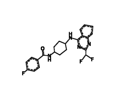 O=C(NC1CCC(Nc2nc(C(F)F)nc3ccccc23)CC1)c1ccc(F)cc1